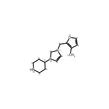 Cc1ccoc1CN1C=CN(C2CCNCC2)C1